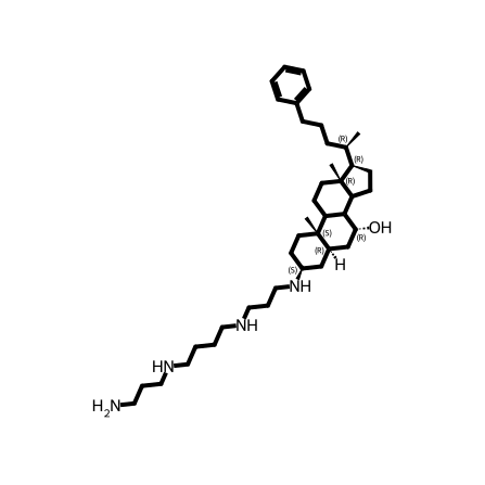 C[C@H](CCCc1ccccc1)[C@H]1CCC2C3C(CC[C@@]21C)[C@@]1(C)CC[C@H](NCCCNCCCCNCCCN)C[C@@H]1C[C@H]3O